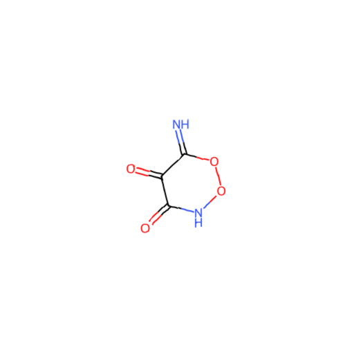 N=c1oo[nH]c(=O)c1=O